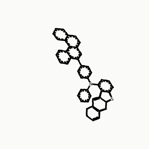 C1=CC2=C(C=C3c4c(cccc4N(c4ccccc4)c4ccc(-c5cc6ccc7ccccc7c6c6ccccc56)cc4)SC3C2)CC1